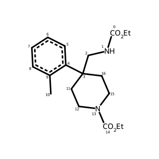 CCOC(=O)NCC1(c2ccccc2C)CCN(C(=O)OCC)CC1